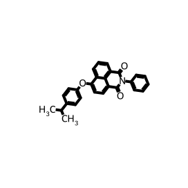 CC(C)c1ccc(Oc2ccc3c4c(cccc24)C(=O)N(c2ccccc2)C3=O)cc1